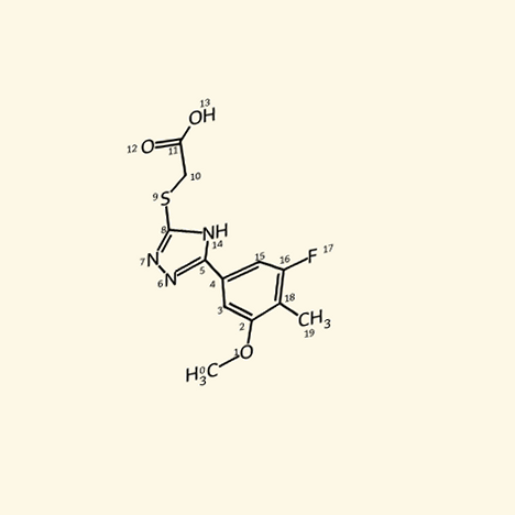 COc1cc(-c2nnc(SCC(=O)O)[nH]2)cc(F)c1C